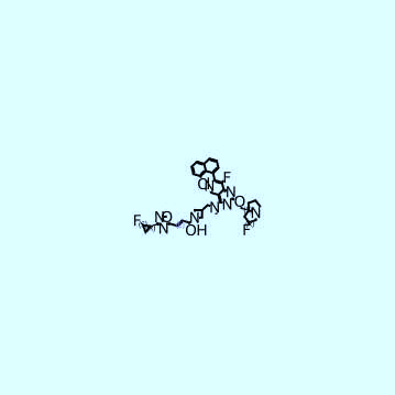 CN(CC1CN(C(O)/C=C/c2nc([C@H]3C[C@@H]3F)no2)C1)c1nc(OC[C@@]23CCCN2C[C@H](F)C3)nc2c(F)c(-c3cccc4cccc(Cl)c34)ncc12